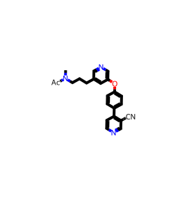 CC(=O)N(C)CCCc1cncc(Oc2ccc(-c3ccncc3C#N)cc2)c1